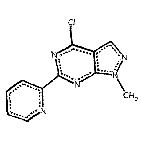 Cn1ncc2c(Cl)nc(-c3ccccn3)nc21